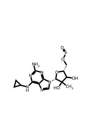 CC1(O)C(O)[C@@H](COP=O)O[C@H]1n1cnc2c(NC3CC3)nc(N)nc21